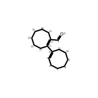 O=CC1=C(C2=CCCCCCC2)CCCCCC1